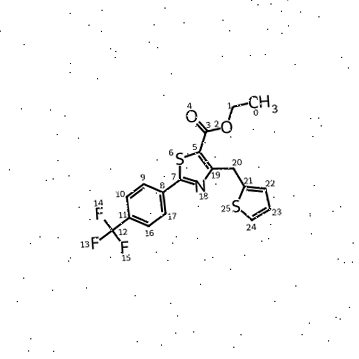 CCOC(=O)c1sc(-c2ccc(C(F)(F)F)cc2)nc1Cc1cccs1